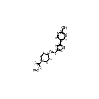 CC(C)OC(=O)N1CCC(OCc2nc(-c3cnc(O)nc3)no2)CC1